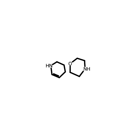 C1=CNCCC1.C1COCCN1